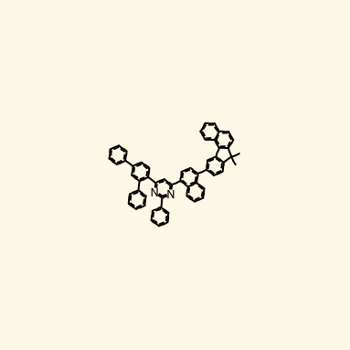 CC1(C)c2ccc(-c3ccc(-c4cc(-c5ccc(-c6ccccc6)cc5-c5ccccc5)nc(-c5ccccc5)n4)c4ccccc34)cc2-c2c1ccc1ccccc21